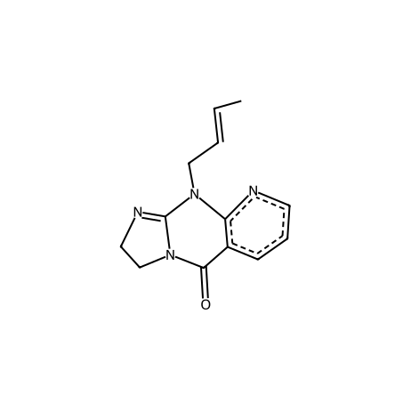 CC=CCN1C2=NCCN2C(=O)c2cccnc21